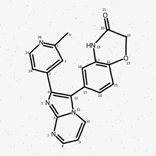 Cc1cc(-c2nc3ncccn3c2-c2ccc3c(c2)NC(=O)CO3)ccn1